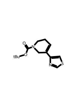 CC(C)(C)OC(=O)N1CCC=C(c2cscn2)C1